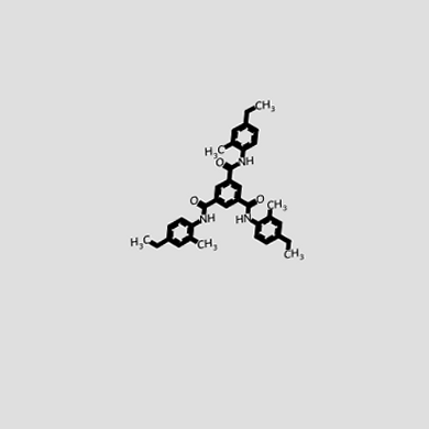 CCc1ccc(NC(=O)c2cc(C(=O)Nc3ccc(CC)cc3C)cc(C(=O)Nc3ccc(CC)cc3C)c2)c(C)c1